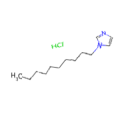 CCCCCCCCCCn1ccnc1.Cl